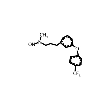 CN(CCCc1cccc(Oc2ccc(C(F)(F)F)cc2)c1)N=O